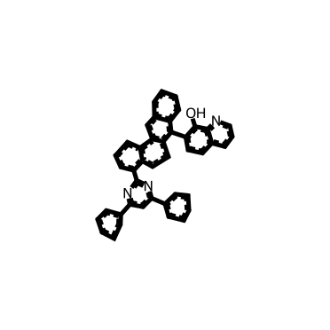 Oc1c(-c2c3ccccc3cc3c2ccc2c(-c4nc(-c5ccccc5)cc(-c5ccccc5)n4)cccc23)ccc2cccnc12